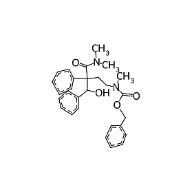 CN(C)C(=O)C(CCN(C)C(=O)OCc1ccccc1)(c1ccccc1)C(O)c1ccccc1